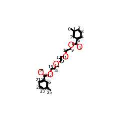 Cc1cccc(C(=O)OCCOCCOCCOC(=O)c2cccc(C)c2)c1